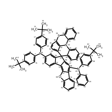 CC(C)(C)c1ccc(N(c2ccc(C(C)(C)C)cc2)c2ccc3c(c2)C2(c4ccccc4N4c5ccccc5Sc5cccc2c54)c2cc(N(c4ccccc4)c4ccc(C(C)(C)C)cc4)c4c(oc5ccccc54)c2-3)cc1